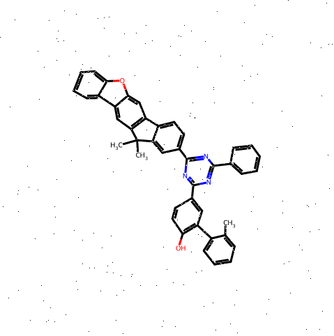 Cc1ccccc1-c1cc(-c2nc(-c3ccccc3)nc(-c3ccc4c(c3)C(C)(C)c3cc5c(cc3-4)oc3ccccc35)n2)ccc1O